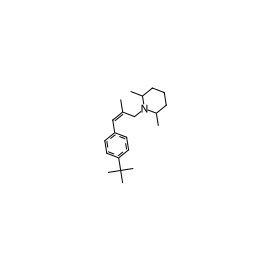 CC(=Cc1ccc(C(C)(C)C)cc1)CN1C(C)CCCC1C